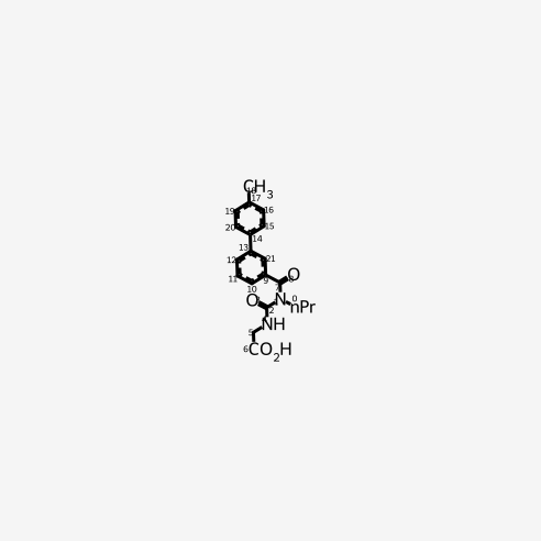 CCCN(C(=O)NCC(=O)O)C(=O)c1cccc(-c2ccc(C)cc2)c1